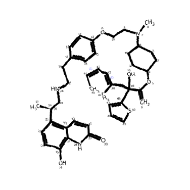 C=C(OC1CCC(N(C)CCOc2ccc(CCNC[C@H](C)c3ccc(O)c4[nH]c(=O)ccc34)cc2)CC1)C(O)(/C(C)=C/C=C\C)c1cccs1